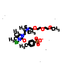 COCCOCCOCC[N+](C)(C)CCN1CC(C)(C)N(Br)C1=O.Cc1ccc(S(=O)(=O)[O-])cc1